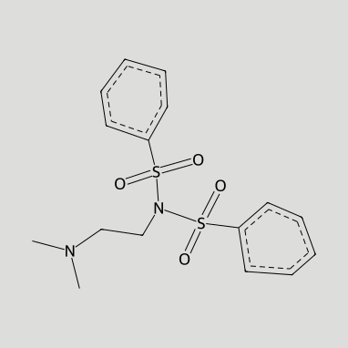 CN(C)CCN(S(=O)(=O)c1ccccc1)S(=O)(=O)c1ccccc1